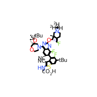 [2H]C([2H])([2H])N1CC/C(=C\F)[C@](C)(COc2nc(N3CCOC[C@@](C)(O[Si](C)(C)C(C)(C)C)C3)c3cc(C#N)c(-c4c(F)c(C(C)(C)C)cc5sc(NC(=O)O)c(C#N)c45)c(F)c3n2)C1